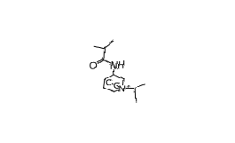 CC(C)C(=O)NC1C[N+]2(C(C)C)CCC1CC2